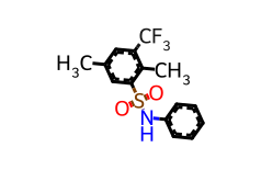 Cc1cc(C(F)(F)F)c(C)c(S(=O)(=O)Nc2ccccc2)c1